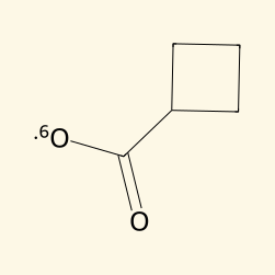 O=C([6O])C1CCC1